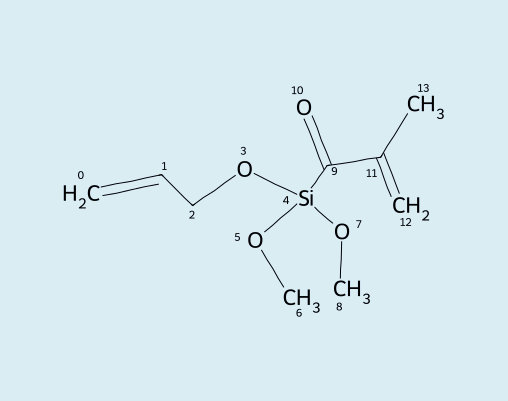 C=CCO[Si](OC)(OC)C(=O)C(=C)C